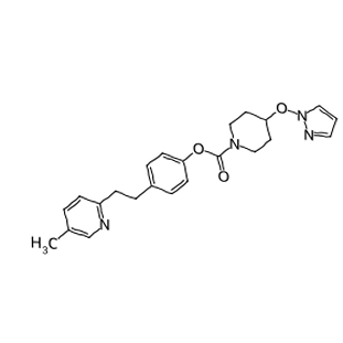 Cc1ccc(CCc2ccc(OC(=O)N3CCC(On4cccn4)CC3)cc2)nc1